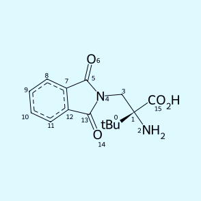 CC(C)(C)[C@@](N)(CN1C(=O)c2ccccc2C1=O)C(=O)O